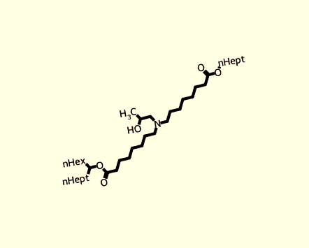 CCCCCCCOC(=O)CCCCCCCN(CCCCCCCC(=O)OC(CCCCCC)CCCCCCC)CC(C)O